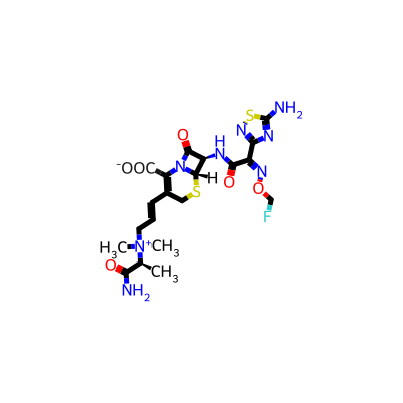 C[C@@H](C(N)=O)[N+](C)(C)C/C=C/C1=C(C(=O)[O-])N2C(=O)[C@@H](NC(=O)/C(=N\OCF)c3nsc(N)n3)[C@@H]2SC1